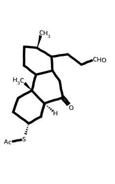 CC(=O)S[C@@H]1CC[C@]2(C)C3CC[C@@H](C)C(CCC=O)C3CC(=O)[C@H]2C1